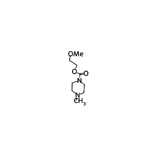 COCCOC(=O)N1CCN(C)CC1